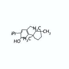 CC(C)c1cc2c(cc1O)C1(C)CCCC(C)(C)C1CC2